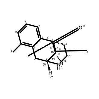 Cc1cccc2c1C[C@H]1NCC[C@@]23CC(=O)C(C)C[C@@H]13